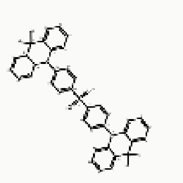 CC1(C)c2ccccc2N(c2ccc(S(=O)(=O)c3ccc(N4c5ccccc5C(C)(C)C5C=CC=CC54)cc3)cc2)c2ccccc21